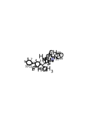 CC(c1ccc(-c2ccccc2)c(F)c1)c1nnc(/N=C(\N(C)C)N2CCOCC2)s1.Cl